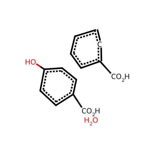 O.O=C(O)c1ccc(O)cc1.O=C(O)c1ccccc1